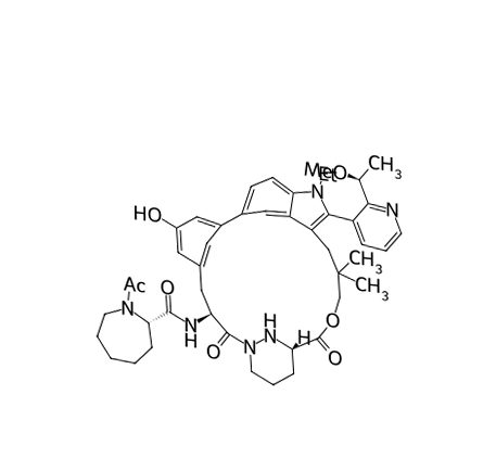 CCn1c(-c2cccnc2[C@H](C)OC)c2c3cc(ccc31)-c1cc(O)cc(c1)C[C@H](NC(=O)[C@@H]1CCCCCN1C(C)=O)C(=O)N1CCC[C@H](N1)C(=O)OCC(C)(C)C2